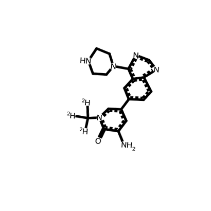 [2H]C([2H])([2H])n1cc(-c2ccc3ncnc(N4CCNCC4)c3c2)cc(N)c1=O